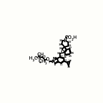 C[Si](C)(C)CCOCn1cc2cc(C3CC3)cc(COCC3(c4ccccc4)CCN(C(=O)O)CC3)c2n1